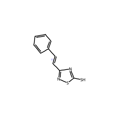 Sc1nc(/C=C/c2ccccc2)ns1